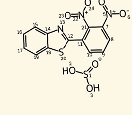 O=S(O)O.O=[N+]([O-])c1cccc(-c2nc3ccccc3s2)c1[N+](=O)[O-]